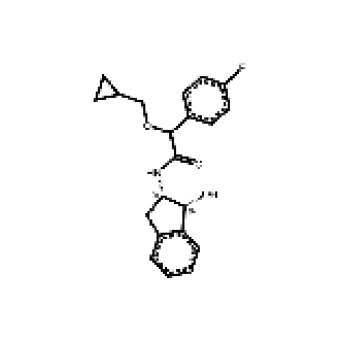 O=C(N[C@H]1Cc2ccccc2[C@H]1O)C(OCC1CC1)c1ccc(F)cc1